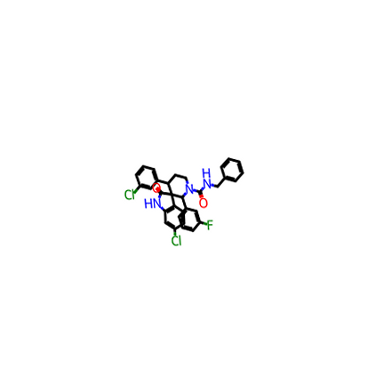 O=C(NCc1ccccc1)N1CCC(c2cccc(Cl)c2)C2(C(=O)Nc3cc(Cl)ccc32)C1c1cccc(F)c1